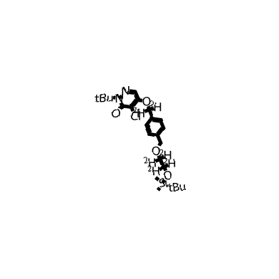 [2H]C([2H])(Oc1cnn(C(C)(C)C)c(=O)c1Cl)c1ccc(COC([2H])([2H])C([2H])([2H])O[Si](C)(C)C(C)(C)C)cc1